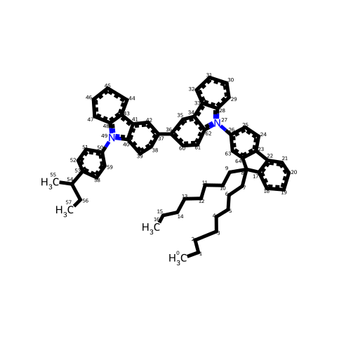 CCCCCCCCC1(CCCCCCCC)c2ccccc2-c2ccc(-n3c4ccccc4c4cc(-c5ccc6c(c5)c5ccccc5n6-c5ccc(C(C)CC)cc5)ccc43)cc21